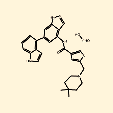 CC1(C)CCN(Cc2nc(C(=O)Nc3cc(-c4cccc5[nH]ccc45)cc4[nH]ncc34)cs2)CC1.O=CO